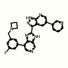 Fc1cc(CN2CCC2)cc(-c2cncc3[nH]c(-c4n[nH]c5ncc(-c6cccnc6)cc45)nc23)c1